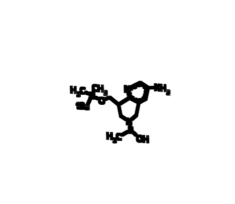 CB(O)N1Cc2cc(N)cnc2C(CO[Si](C)(C)C(C)(C)C)C1